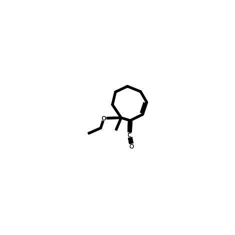 CCOC1(C)CCCCC=CC1=C=O